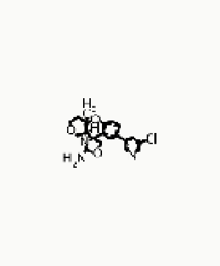 C[C@]12CCOC[C@H]1C1(COC(N)=N1)c1cc(-c3cncc(Cl)c3)ccc1O2